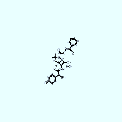 CC1(C)S[C@@H]2C(NC(=O)C(N)c3ccc(O)cc3)C(=O)N2[C@H]1C(=O)OCC(=O)c1ccccc1.Cl